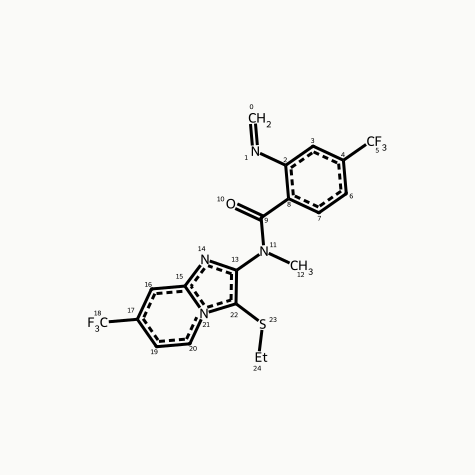 C=Nc1cc(C(F)(F)F)ccc1C(=O)N(C)c1nc2cc(C(F)(F)F)ccn2c1SCC